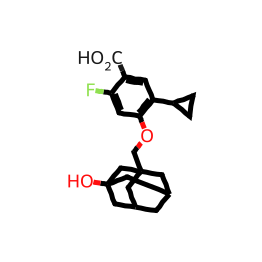 O=C(O)c1cc(C2CC2)c(OCC23CC4CC(CC(O)(C4)C2)C3)cc1F